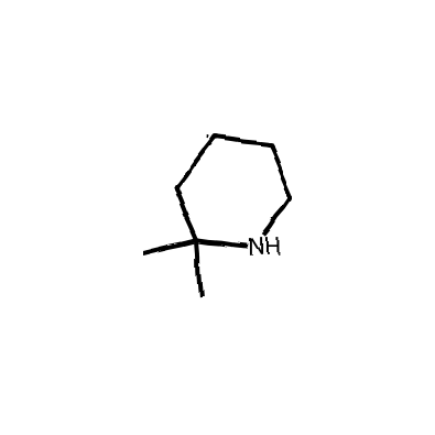 CC1(C)C[CH]CCN1